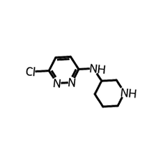 Clc1ccc(NC2CCCNC2)nn1